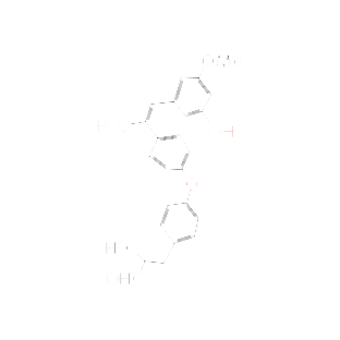 COc1cc(O)cc(/C=C(/C)c2ccc(Oc3ccc(CC(C)C=O)cc3)cc2)c1